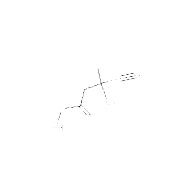 COC(=O)CC(C)(C)C#N